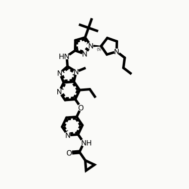 CCCN1CC[C@H](n2nc(Nc3nc4ncc(Oc5ccnc(NC(=O)C6CC6)c5)c(CC)c4n3C)cc2C(C)(C)C)C1